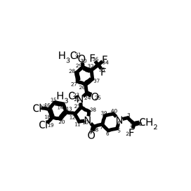 C=C(F)CN1CCC(C(=O)N2CC(c3ccc(Cl)c(Cl)c3)C(N(C)C(=O)c3ccc(OC)c(C(F)(F)F)c3)C2)CC1